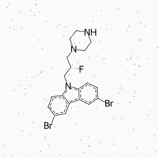 F[C@@H](CN1CCNCC1)Cn1c2ccc(Br)cc2c2cc(Br)ccc21